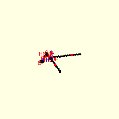 CCCCCCCCCCCCCCCCCCCCCCCCCCN[C@@H](CO[C@H]1O[C@H](COC(=O)Nc2ccc(OC)cc2)[C@H](O)[C@H](O)[C@H]1O)[C@H](O)[C@H](O)CCCCCCCCCCCCCC